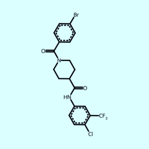 O=C(Nc1ccc(Cl)c(C(F)(F)F)c1)C1CCN(C(=O)c2ccc(Br)cc2)CC1